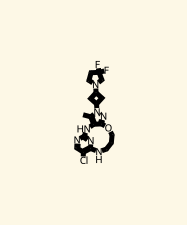 Cc1c2c(nn1C1CC(N3CCC(F)(F)C3)C1)OCCCNc1nc(ncc1Cl)N2